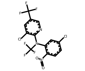 O=[N+]([O-])c1ccc(Cl)cc1N(c1ncc(C(F)(F)F)cc1Cl)C(F)(F)F